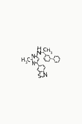 Cc1nc(NC(C)c2cccc(-c3ccccc3)c2)cc(-c2ccc3ncsc3c2)n1